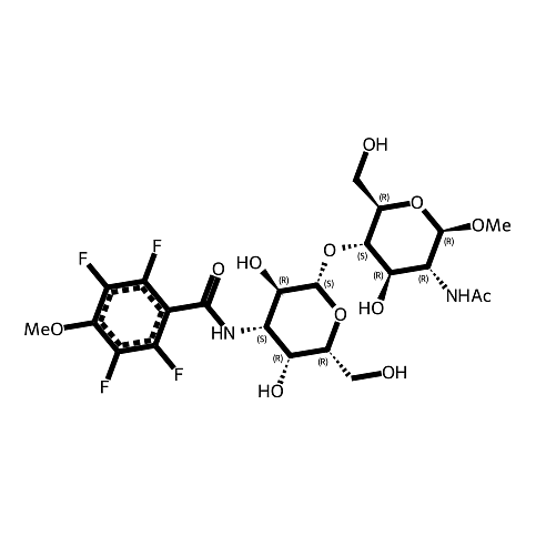 COc1c(F)c(F)c(C(=O)N[C@H]2[C@@H](O)[C@@H](CO)O[C@@H](O[C@H]3[C@H](O)[C@@H](NC(C)=O)[C@H](OC)O[C@@H]3CO)[C@@H]2O)c(F)c1F